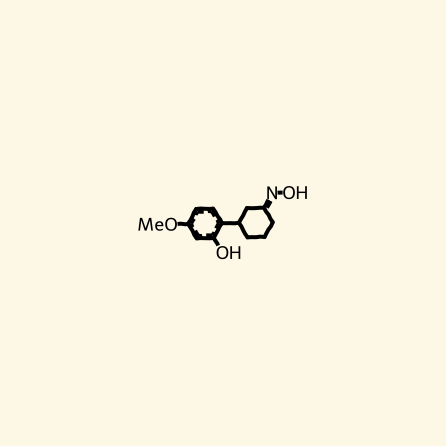 COc1ccc(C2CCCC(=NO)C2)c(O)c1